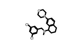 CN(Cc1cc(Cl)cc(Cl)c1)C1CCCc2ccc(N3CCOCC3)cc21